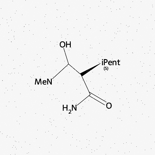 CCC[C@H](C)C(C(N)=O)C(O)NC